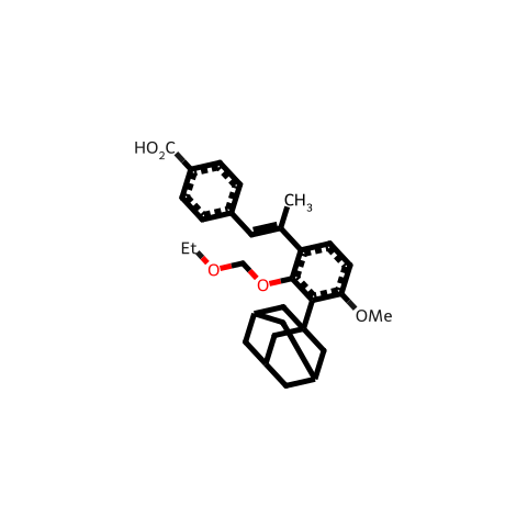 CCOCOc1c(C(C)=Cc2ccc(C(=O)O)cc2)ccc(OC)c1C12CC3CC(CC(C3)C1)C2